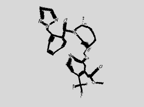 COC(=O)c1c(C(F)(F)F)ccnc1O[C@@H]1CC[C@@H](C)N(C(=O)c2ccccc2-n2nccn2)C1